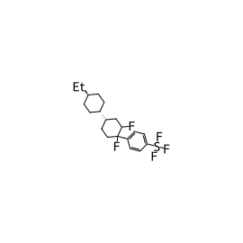 CC[C@H]1CC[C@H](C2CCC(F)(c3ccc(S(F)(F)F)cc3)C(F)C2)CC1